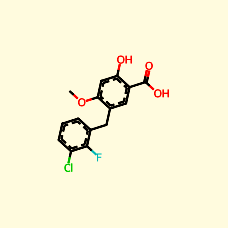 COc1cc(O)c(C(=O)O)cc1Cc1cccc(Cl)c1F